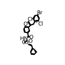 Cc1oc2ccc(C(=O)NS(=O)(=O)C=Cc3ccccc3)cc2c1Cc1ccc(Br)cc1Cl